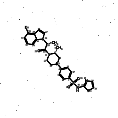 C[C@@H]1CN(c2ccc(S(=O)(=O)Nc3nccs3)cc2)CCN1C(=O)[C@@H](C)n1ccc2c(F)cccc21